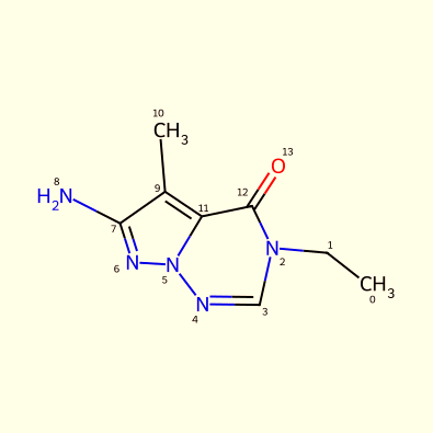 CCn1cnn2nc(N)c(C)c2c1=O